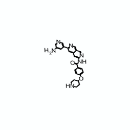 Nc1cncc(-c2cc3cc(NC(=O)c4ccc(OC5CCNCC5)cc4)ncc3cn2)c1